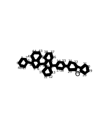 c1ccc(-c2ccc(-c3c4ccccc4c(-c4ccc(-c5ccc6c(c5)oc5ccccc56)cc4)c4ccccc34)c3ccccc23)cc1